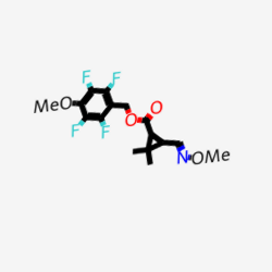 CO/N=C/C1C(C(=O)OCc2c(F)c(F)c(OC)c(F)c2F)C1(C)C